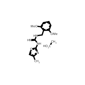 CC(=O)O.COc1cccc(OC)c1CNC(=N)Nc1nc(C)co1